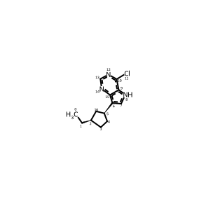 CC[C@@H]1CC[C@H](c2c[nH]c3c(Cl)ncnc23)C1